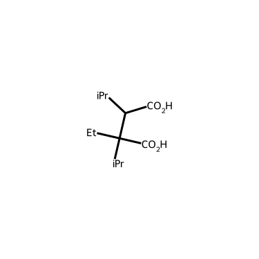 CCC(C(=O)O)(C(C)C)C(C(=O)O)C(C)C